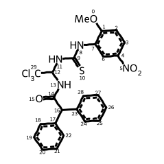 COc1ccc([N+](=O)[O-])cc1NC(=S)NC(NC(=O)C(c1ccccc1)c1ccccc1)C(Cl)(Cl)Cl